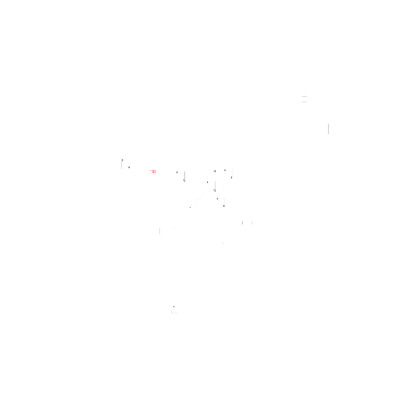 CC(=O)c1csc([C@H](CCN2C3CCC2CC(n2c(C)nnc2C(C)C)C3)NC(=O)C2CCC(F)(F)CC2)c1